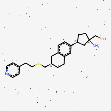 N[C@]1(CO)CC[C@H](c2ccc3c(c2)CC[C@@H](CSCCc2ccncc2)C3)C1